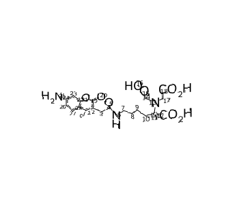 Cc1c(CC(=O)NCCCC[C@@H](C(=O)O)N(COO)CC(=O)O)c(=O)oc2cc(N)ccc12